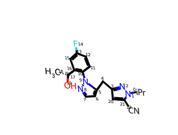 CC(C)n1nc(Cc2ccnn2-c2ccc(F)cc2[C@@H](C)O)cc1C#N